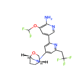 Nc1ncc(-c2cc(N3C[C@@H]4CC[C@H]3CO4)cc(CC(F)(F)F)n2)cc1OC(F)F